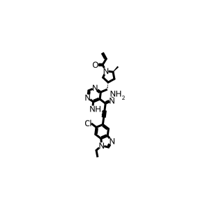 C=CC(=O)N1C[C@@H](Cc2ncnc(N)c2/C(C#Cc2cc3ncn(CC)c3cc2Cl)=N\N)C[C@@H]1C